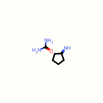 N=C1CCCC1.NC(N)=O